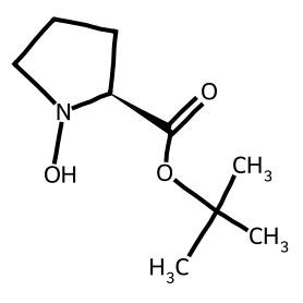 CC(C)(C)OC(=O)[C@@H]1CCCN1O